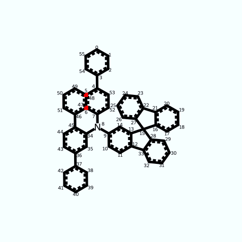 c1ccc(-c2ccc(N(c3ccc4c(c3)C3(c5ccccc5-c5ccccc53)c3ccccc3-4)c3cc(-c4ccccc4)ccc3-c3ccccc3)cc2)cc1